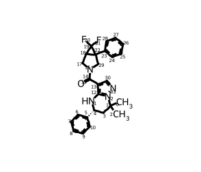 CC1(C)C[C@H](c2ccccc2)Nc2c(C(=O)N3CC4C(F)(F)C4(c4ccccc4)C3)cnn21